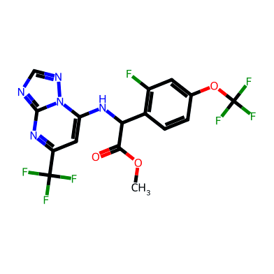 COC(=O)C(Nc1cc(C(F)(F)F)nc2ncnn12)c1ccc(OC(F)(F)F)cc1F